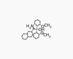 COc1ccccc1C(O)(c1ccccc1OC)[C@H](N)c1ccc2ccccc2c1